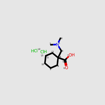 CN(C)CC1(C(=O)O)CCCCC1.Cl.Cl